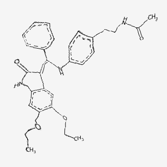 CCOc1cc2c(cc1OCC)C(=C(Nc1ccc(CCNC(C)=O)cc1)c1ccccc1)C(=O)N2